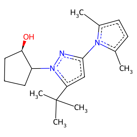 Cc1ccc(C)n1-c1cc(C(C)(C)C)n(C2CCC[C@H]2O)n1